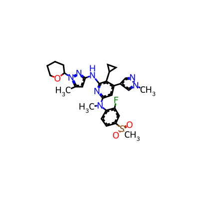 Cc1cc(Nc2nc(N(C)c3ccc(S(C)(=O)=O)cc3F)cc(-c3cnn(C)c3)c2C2CC2)nn1C1CCCCO1